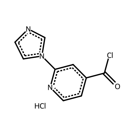 Cl.O=C(Cl)c1ccnc(-n2ccnc2)c1